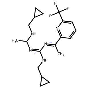 C/C(=N\C(=N/C(C)NCC1CC1)NCC1CC1)c1cccc(C(F)(F)F)n1